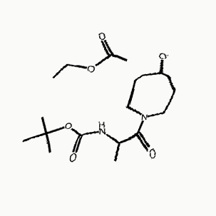 CC(NC(=O)OC(C)(C)C)C(=O)N1CCC([O])CC1.CCOC(C)=O